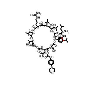 CC[C@H](C)[C@@H]1NC(=O)[C@@H](CCCNC(=N)N)NC(=O)[C@H](CC(C)C)NC(=O)[C@H]([C@H](O)C(C)C)NC(=O)[C@@H](NC(=O)[C@H](CC(C)C)NC(=O)[C@H](N)CC(C)C)[C@@H](c2ccccc2)OC(=O)[C@H](CO)NC(=O)[C@H]([C@H](OC(=O)Nc2ccc(N3CCOCC3)cc2)C(N)=O)NC(=O)CNC(=O)[C@H]([C@H](C)O)NC1=O